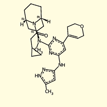 Cc1cc(Nc2cc(C3=CCOCC3)nc(N(C)[C@@H]3C[C@H]4CCC[C@@H](C3)N4C(=O)CC3CC3)n2)n[nH]1